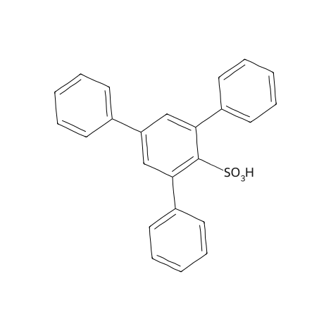 O=S(=O)(O)c1c(-c2ccccc2)cc(-c2ccccc2)cc1-c1ccccc1